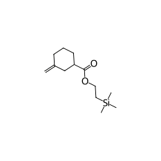 C=C1CCCC(C(=O)OCC[Si](C)(C)C)C1